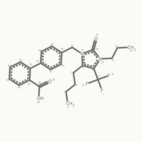 CCCCc1c(C(F)(F)F)n(CCC)c(=O)n1Cc1ccc(-c2ccccc2C(=O)O)cc1